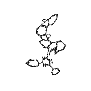 c1ccc(-c2nc(-c3ccccc3)nc(-n3c4ccccc4c4c5oc6c(ccc7sc8ccccc8c76)c5ccc43)n2)cc1